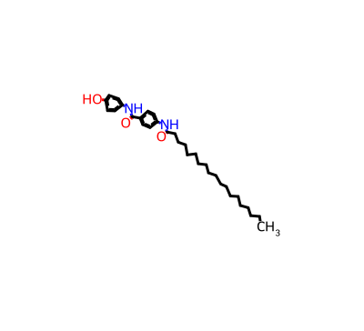 CCCCCCCCCCCCCCCCCCC(=O)Nc1ccc(C(=O)Nc2ccc(O)cc2)cc1